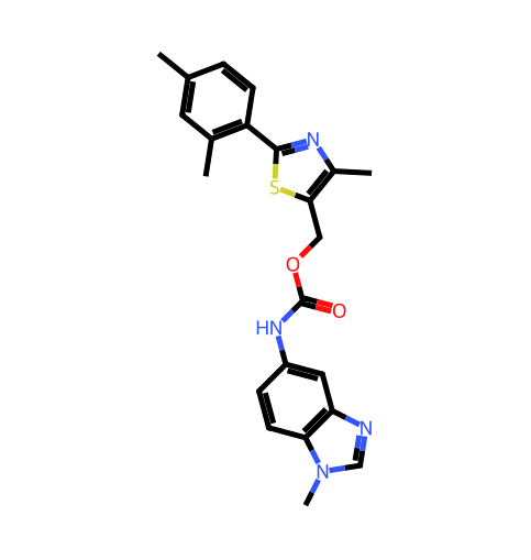 Cc1ccc(-c2nc(C)c(COC(=O)Nc3ccc4c(c3)ncn4C)s2)c(C)c1